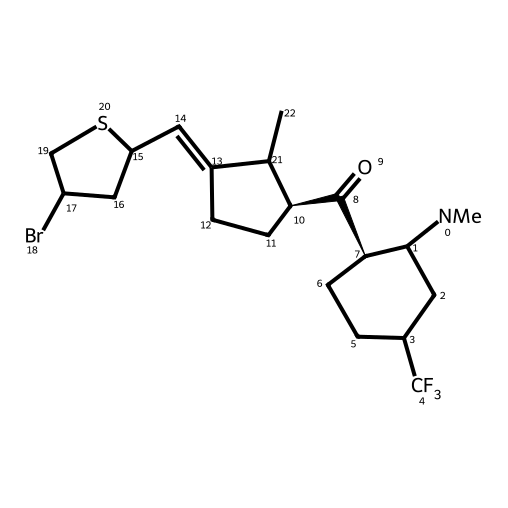 CNC1CC(C(F)(F)F)CC[C@H]1C(=O)[C@H]1CC/C(=C\C2CC(Br)CS2)C1C